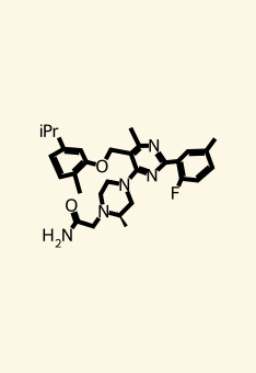 Cc1ccc(F)c(-c2nc(C)c(COc3cc(C(C)C)ccc3C)c(N3CCN(CC(N)=O)[C@H](C)C3)n2)c1